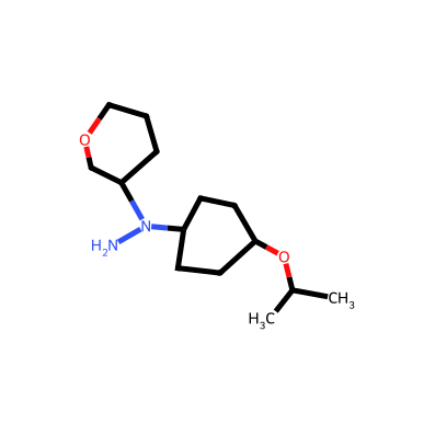 CC(C)OC1CCC(N(N)C2CCCOC2)CC1